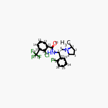 CC1CCCN1C[C@@H](NC(=O)c1cccc(C(F)(F)F)c1Cl)c1ccccc1F